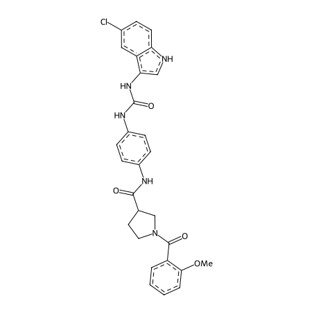 COc1ccccc1C(=O)N1CCC(C(=O)Nc2ccc(NC(=O)Nc3c[nH]c4ccc(Cl)cc34)cc2)C1